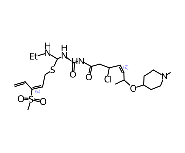 C=C/C(=C\CSC(NCC)NC(=O)NC(=O)CC(Cl)/C=C\C(C)OC1CCN(C)CC1)S(C)(=O)=O